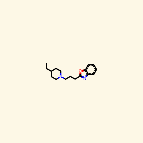 CCC1CCN(CCCc2nc3ccccc3o2)CC1